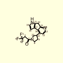 O=C(CC(F)(F)F)N1CCC(c2ccnc3c2-c2cc[nH]c2C3)C1